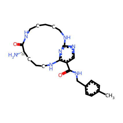 Cc1ccc(CNC(=O)c2cnc3nc2NCCC[C@H](N)C(=O)NCCCCCN3)cc1